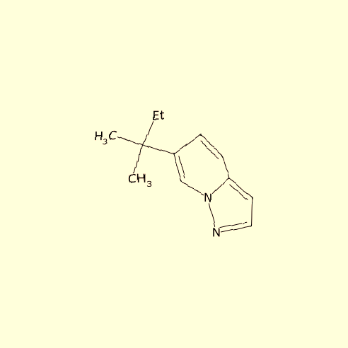 CCC(C)(C)c1ccc2ccnn2c1